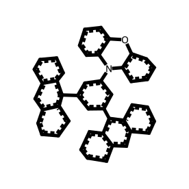 c1ccc2c(c1)Oc1ccccc1N2c1cc(-c2c3ccccc3cc3ccccc23)cc(-c2c3ccccc3cc3ccccc23)c1